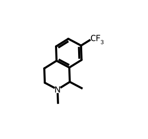 CC1c2cc(C(F)(F)F)ccc2CCN1C